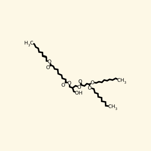 CCCCCCC=CCOC(=O)CCCCCCCC(=O)OCC(CO)COC(=O)CCC(OCCCCCCCCC)OCCCCCCCCC